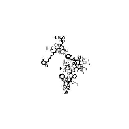 CC[C@H](C)[C@@H]([C@@H](CC(=O)N1CCC[C@H]1[C@H](OC)[C@@H](C)C(=O)N[C@@H](Cc1ccccc1)C(=O)NS(=O)(=O)C1CC1)OC)N(C)C(=O)[C@@H](NC(=O)[C@H](C(C)C)N(C)C(=O)OCc1ccc(NC(=O)[C@H](CCCNC(N)=O)NC(=O)[C@@H](NC(=O)CCCCCN2C(=O)C=CC2=O)C(C)C)cc1)C(C)C